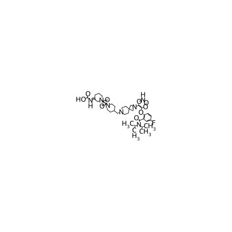 CC(C)N(C(=O)c1cc(F)ccc1Oc1oo[nH]oc1N1CC2(CCN(CC3CCN(S(=O)(=O)N4CCC[C@@H](NC(=O)O)C4)CC3)CC2)C1)C(C)C